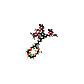 COC(F)(F)COCC(F)(F)CC(F)(F)OC(F)(F)COCC(F)(F)CCCCCCCC(CCC[Si](OC)(OC)OC)(CCC[Si](OC)(OC)OC)CCC[Si](OC)(OC)OC